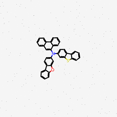 c1ccc2c(c1)cc(N(c1ccc3c(c1)oc1ccccc13)c1ccc3c(c1)sc1ccccc13)c1ccccc12